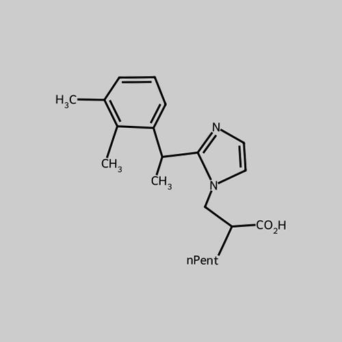 CCCCCC(Cn1ccnc1C(C)c1cccc(C)c1C)C(=O)O